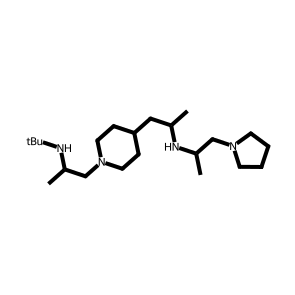 CC(CC1CCN(CC(C)NC(C)(C)C)CC1)NC(C)CN1CCCC1